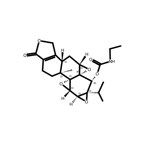 CCNC(=O)O[C@@H]1[C@@]2(C(C)C)O[C@H]2[C@@H]2O[C@]23[C@]12O[C@H]2C[C@H]1C2=C(CC[C@@]13C)C(=O)OC2